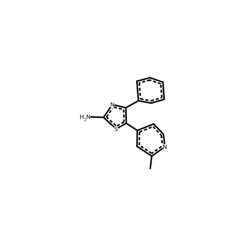 Cc1cc(-c2sc(N)nc2-c2ccccc2)ccn1